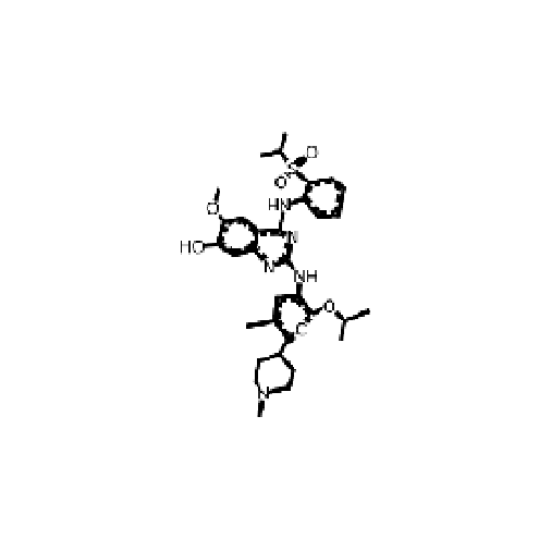 COc1cc2c(Nc3ccccc3S(=O)(=O)C(C)C)nc(Nc3cc(C)c(C4CCN(C)CC4)cc3OC(C)C)nc2cc1O